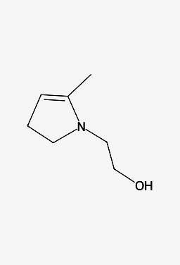 CC1=CCCN1CCO